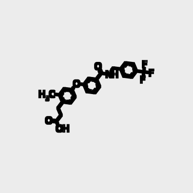 Cc1cc(Oc2cccc(C(=O)NCc3ccc(C(F)(F)F)cc3)c2)ccc1CCC(=O)O